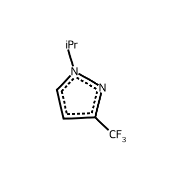 CC(C)n1ccc(C(F)(F)F)n1